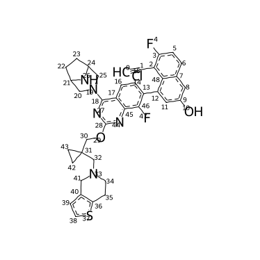 C#Cc1c(F)ccc2cc(O)cc(-c3c(Cl)cc4c(N5CC6CCC(C5)N6)nc(OCC5(CN6CCc7sccc7C6)CC5)nc4c3F)c12